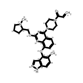 C=CC(=O)N1CCN(c2nc(OCC3CCCN3C)nc3c(Oc4c(C)ccc5[nH]ncc45)cccc23)CC1